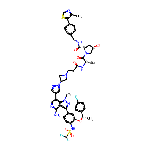 Cc1ncsc1-c1ccc(CNC(=O)[C@@H]2C[C@@H](O)CN2C(=O)[C@@H](NC(=O)CCN2CC(n3cc(-c4cnc(N)c5c(-c6ccc(NS(=O)(=O)C(F)F)c(O[C@@H](C)c7ccc(F)cc7)c6)nn(C)c45)cn3)C2)C(C)(C)C)cc1